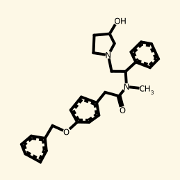 CN(C(=O)Cc1ccc(OCc2ccccc2)cc1)C(CN1CCC(O)C1)c1ccccc1